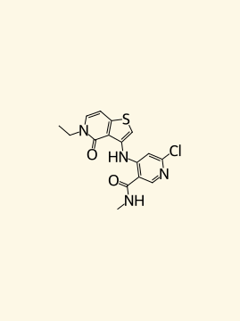 CCn1ccc2scc(Nc3cc(Cl)ncc3C(=O)NC)c2c1=O